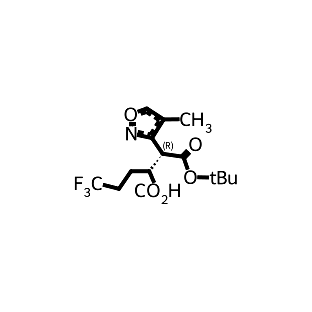 Cc1conc1[C@H](C(=O)OC(C)(C)C)C(CCC(F)(F)F)C(=O)O